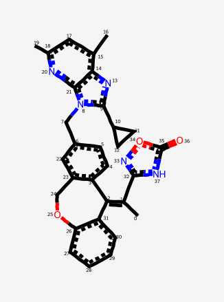 CC(=C1c2ccc(Cn3c(C4CC4)nc4c(C)cc(C)nc43)cc2COc2ccccc21)c1noc(=O)[nH]1